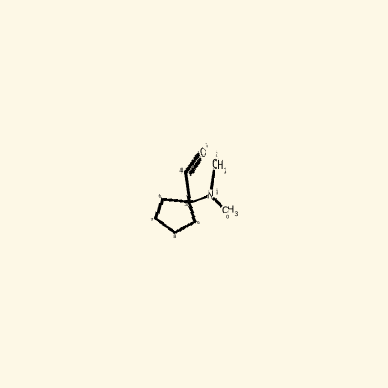 CN(C)C1(C=O)CCCC1